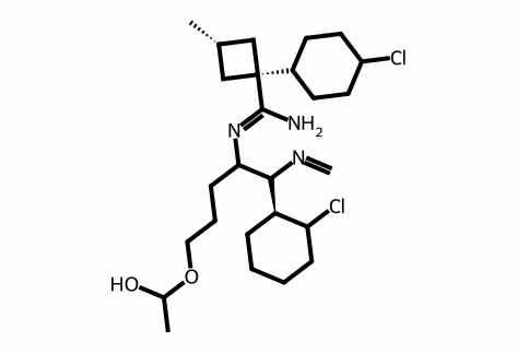 C=NC(C(CCCOC(C)O)/N=C(\N)[C@]1(C2CCC(Cl)CC2)C[C@@H](C)C1)[C@@H]1CCCCC1Cl